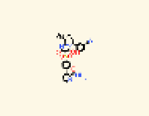 CCC(c1cccc(C#N)c1)n1c(CC2CC2)nc(=O)c(S(=O)(=O)c2ccc(-c3cccnc3C(N)=O)cc2)c1O